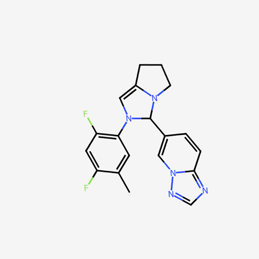 Cc1cc(N2C=C3CCCN3C2c2ccc3ncnn3c2)c(F)cc1F